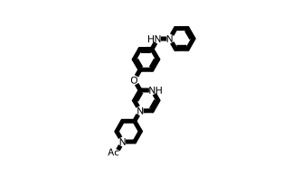 CC(=O)N1CCC(N2C=CNC(Oc3ccc(NN4C=CC=CC4)cc3)=C2)CC1